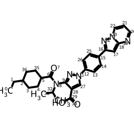 CCC1CCC(C(=O)N(c2nn(-c3ccc(-c4cc5ncccn5n4)cc3)cc2C(=O)O)C(C)C)CC1